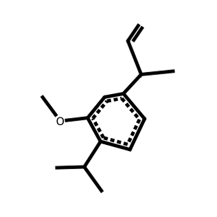 C=C[C](C)c1ccc(C(C)C)c(OC)c1